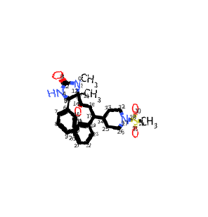 CN1C(=O)N[C@H](c2ccccc2)[C@@]1(C)C(=O)CC(c1ccccc1)C1CCN(S(C)(=O)=O)CC1